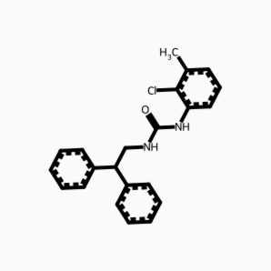 Cc1cccc(NC(=O)NCC(c2ccccc2)c2ccccc2)c1Cl